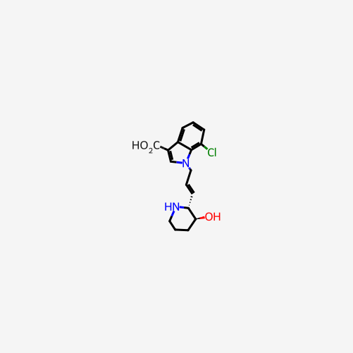 O=C(O)c1cn(C/C=C/[C@H]2NCCC[C@@H]2O)c2c(Cl)cccc12